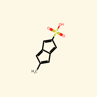 CC1=CC2=CC(S(=O)(=O)O)=CC2=C1